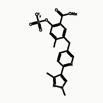 COC(=O)c1cc(Cc2ccc(-c3cn(C)nc3C)nc2)c(C)cc1OS(=O)(=O)C(F)(F)F